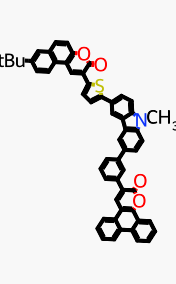 Cn1c2ccc(-c3cccc(-c4cc5c6ccccc6c6ccccc6c5oc4=O)c3)cc2c2cc(-c3ccc(-c4cc5c(ccc6cc(C(C)(C)C)ccc65)oc4=O)s3)ccc21